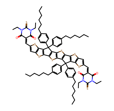 CCCCCCc1ccc(C2(c3ccc(CCCCCC)cc3)c3c(sc4cc(C=C5C(=O)N(CC)C(=S)N(CC)C5=O)sc34)-c3sc4c5c(sc4c32)-c2sc3cc(C=C4C(=O)N(CC)C(=S)N(CC)C4=O)sc3c2C5(c2ccc(CCCCCC)cc2)c2ccc(CCCCCC)cc2)cc1